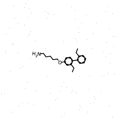 CCc1ccccc1-c1ccc(OCCCCCN)cc1CC